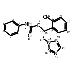 O=C(Nc1ccccc1)O[C@@H](Cn1ncnn1)c1ccccc1Cl